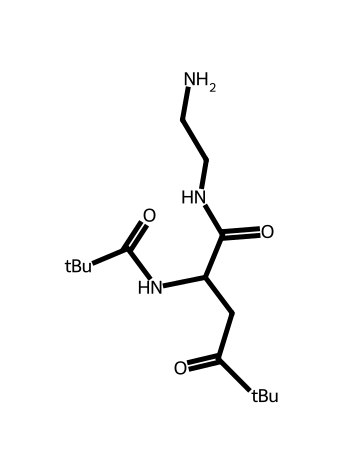 CC(C)(C)C(=O)CC(NC(=O)C(C)(C)C)C(=O)NCCN